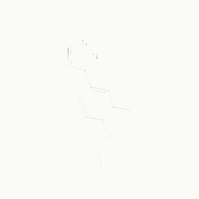 CCOc1ccc(-c2cc[nH]n2)cc1C